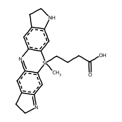 C[Si]1(CCCC(=O)O)c2cc3c(cc2N=c2cc4c(cc21)=NCC4)CCN3